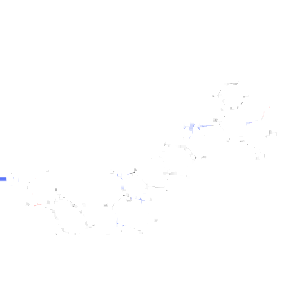 CCC(=O)N1c2ccccc2[C@H](Nc2ccc(Cc3cnc4n3CCN(Cc3ccc(OC(N)=O)cc3)C4)cc2)C[C@@H]1C